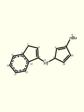 CCCCC1=C[CH]([Hf][C]2=CCc3ccccc32)C=C1